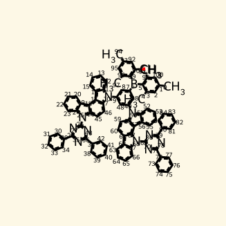 Cc1cc(C)c(B(c2cc(-n3c4ccccc4c4c5c6ccccc6n(-c6nc(-c7ccccc7)nc(-c7ccccc7)n6)c5ccc43)cc(-n3c4ccccc4c4c3ccc3c5ccccc5n(-c5nc(-c6ccccc6)nc(-c6ccccc6)n5)c34)c2)c2c(C)cc(C)cc2C)c(C)c1